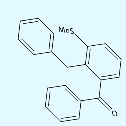 CSc1cccc(C(=O)c2ccccc2)c1Cc1ccccc1